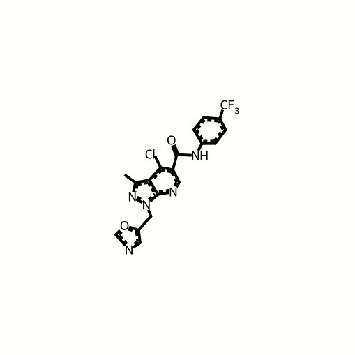 Cc1nn(Cc2cnco2)c2ncc(C(=O)Nc3ccc(C(F)(F)F)cc3)c(Cl)c12